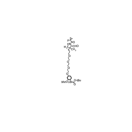 COc1cc(OCCOCCOCCOCCSC(C)(C)C(C=O)NC(=O)C2(F)CC2)ccc1NC(=O)OC(C)(C)C